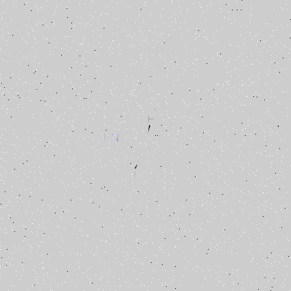 CC1=C[C@H](C)[C@H](C)[C@@H]2CNC(=O)[C@H]12